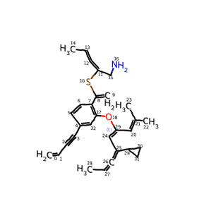 C=CC#Cc1ccc(C(=C)SC(=C=CC)CN)c(O/C(C=C(C)C)=C/C(=C=CC)C2CC2)c1